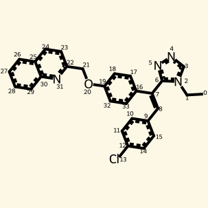 CCn1cnnc1/C(=C/c1ccc(Cl)cc1)c1ccc(OCc2ccc3ccccc3n2)cc1